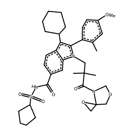 COc1ccc(-c2c(C3CCCCC3)c3ccc(C(=O)NS(=O)(=O)C4CCCC4)cc3n2CC(C)(C)C(=O)N2COCC23CO3)c(C)c1